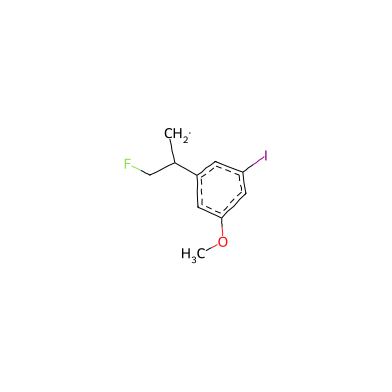 [CH2]C(CF)c1cc(I)cc(OC)c1